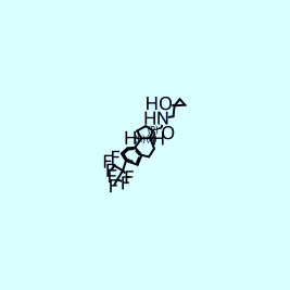 O=C(NCC1(O)CC1)[C@@H]1CC[C@H]2c3ccc(C(F)(C(F)(F)F)C(F)(F)F)cc3CC[C@@H]12